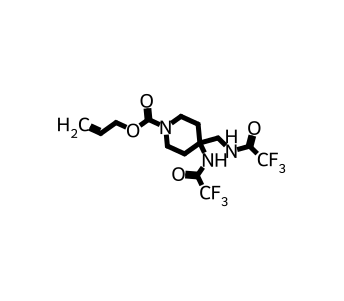 C=CCOC(=O)N1CCC(CNC(=O)C(F)(F)F)(NC(=O)C(F)(F)F)CC1